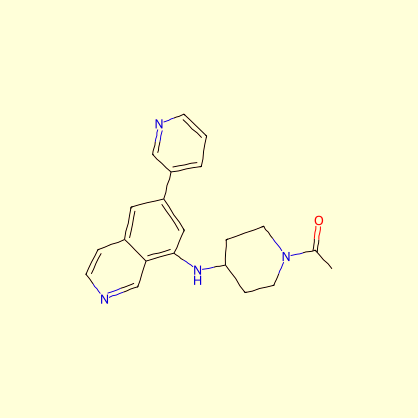 CC(=O)N1CCC(Nc2cc(-c3cccnc3)cc3ccncc23)CC1